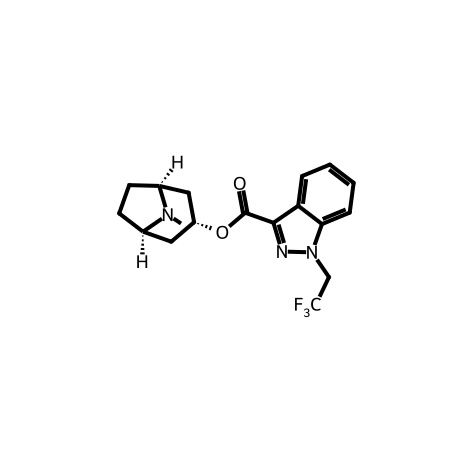 CN1[C@@H]2CC[C@H]1C[C@H](OC(=O)c1nn(CC(F)(F)F)c3ccccc13)C2